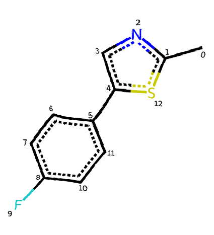 Cc1ncc(-c2ccc(F)cc2)s1